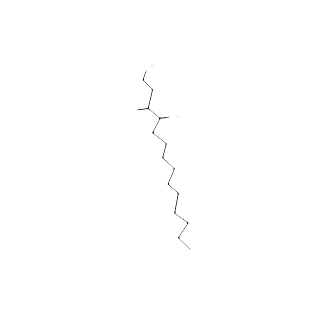 CCCCCCCCCCC(O)C(O)CCO